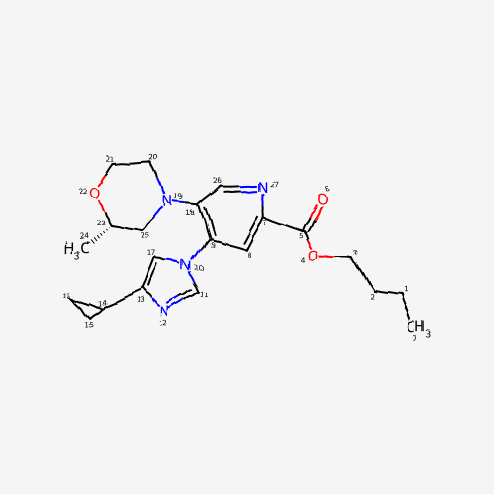 CCCCOC(=O)c1cc(-n2cnc(C3CC3)c2)c(N2CCO[C@@H](C)C2)cn1